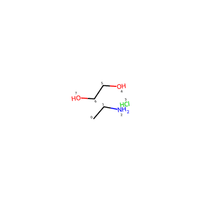 CCN.Cl.OCCO